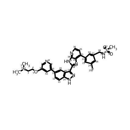 CN(C)CCOc1cncc(-c2ccc3[nH]nc(-c4nc5c(-c6cc(F)cc(CNS(C)(=O)=O)c6)ccnc5[nH]4)c3c2)c1